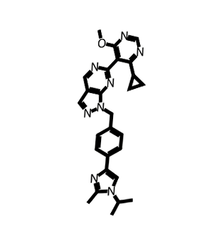 COc1ncnc(C2CC2)c1-c1ncc2cnn(Cc3ccc(-c4cn(C(C)C)c(C)n4)cc3)c2n1